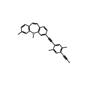 CC#Cc1cc(C)c(C#Cc2ccc3c(c2)B(C)c2cc(C)ccc2C=C3)cc1C